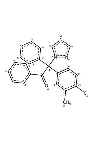 Cc1cc(C(C(=O)c2ccccc2)(c2ccccc2)n2cncn2)ccc1Cl